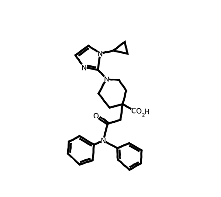 O=C(CC1(C(=O)O)CCN(c2nccn2C2CC2)CC1)N(c1ccccc1)c1ccccc1